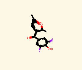 Cc1cc(C(=O)c2cc(I)c(O)c(I)c2)c(C)o1